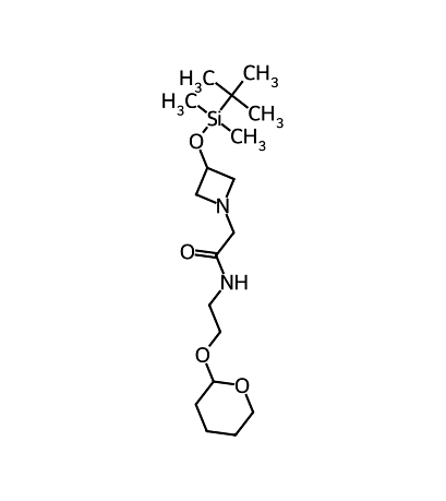 CC(C)(C)[Si](C)(C)OC1CN(CC(=O)NCCOC2CCCCO2)C1